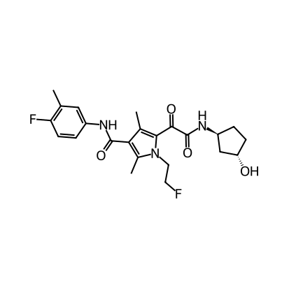 Cc1cc(NC(=O)c2c(C)c(C(=O)C(=O)N[C@H]3CC[C@H](O)C3)n(CCF)c2C)ccc1F